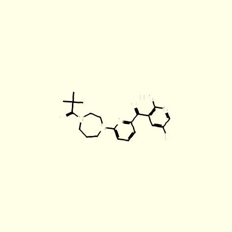 CC(C)(C)C(=O)N1CCCN(c2cccc(C(=O)c3cc(Br)cnc3N)n2)CC1